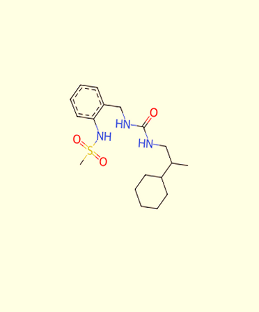 CC(CNC(=O)NCc1ccccc1NS(C)(=O)=O)C1CCCCC1